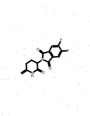 C=C1CCC(N2C(=O)c3cc(F)c(F)cc3C2=O)C(=O)N1